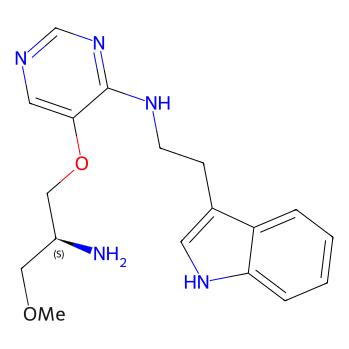 COC[C@H](N)COc1cncnc1NCCc1c[nH]c2ccccc12